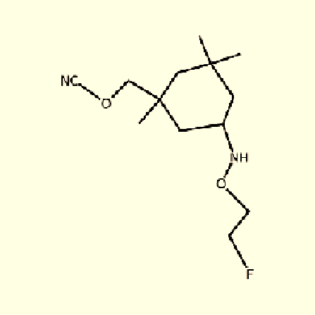 CC1(C)CC(NOCCF)CC(C)(COC#N)C1